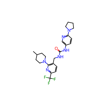 CC1CCN(c2nc(C(F)(F)F)ccc2CNC(=O)Nc2ccc(N3CCCC3)nc2)CC1